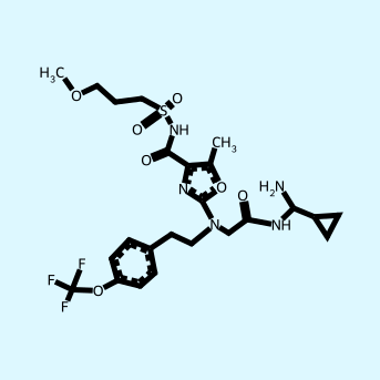 COCCCS(=O)(=O)NC(=O)c1nc(N(CCc2ccc(OC(F)(F)F)cc2)CC(=O)NC(N)C2CC2)oc1C